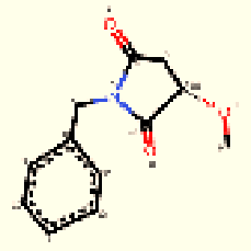 CO[C@H]1CC(=O)N(Cc2ccccc2)C1=O